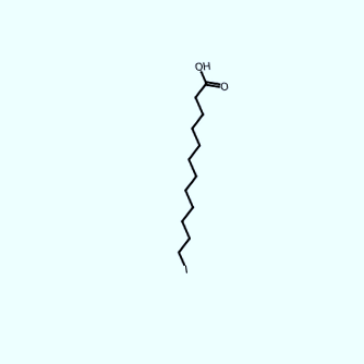 O=C(O)CCCCCCCCCCCI